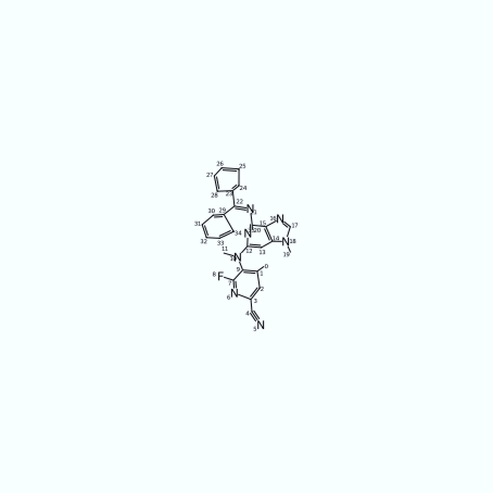 Cc1cc(C#N)nc(F)c1N(C)c1cc2c(ncn2C)c(N=C(c2ccccc2)c2ccccc2)n1